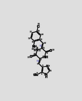 CC(C)(C)c1[nH]cnc1/C=c1\[nH]c(=O)/c(=C/c2cc(Cl)ccc2N)[nH]c1=O